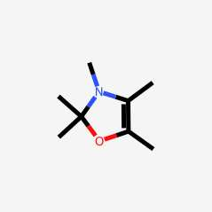 CC1=C(C)N(C)C(C)(C)O1